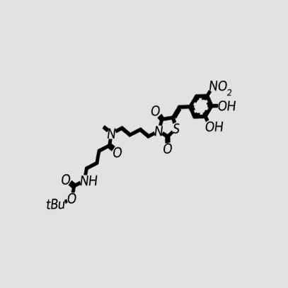 CN(CCCCN1C(=O)S/C(=C\c2cc(O)c(O)c([N+](=O)[O-])c2)C1=O)C(=O)CCCNC(=O)OC(C)(C)C